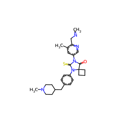 C=NCc1ncc(N2C(=O)C3(CCC3)N(c3ccc(CC4CCN(C)CC4)cc3)C2=S)cc1C